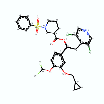 O=C(OC(Cc1c(Cl)cncc1Cl)c1ccc(OC(F)F)c(OCC2CC2)c1)C1CCCN(S(=O)(=O)c2ccccc2)C1